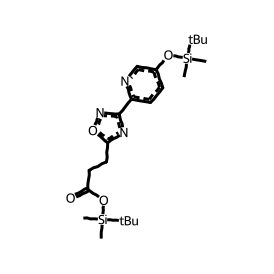 CC(C)(C)[Si](C)(C)OC(=O)CCc1nc(-c2ccc(O[Si](C)(C)C(C)(C)C)cn2)no1